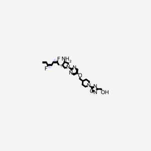 C=C/C(F)=C\C=C(\F)C[C@H]1CN(c2ncc(OCC3CCN(c4nc(CO)no4)CC3)cn2)C[C@@H]1N